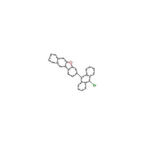 Brc1c2ccccc2c(-c2ccc3c(c2)oc2cc4ccccc4cc23)c2ccccc12